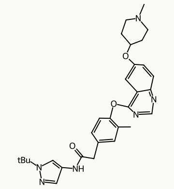 Cc1cc(CC(=O)Nc2cnn(C(C)(C)C)c2)ccc1Oc1ncnc2ccc(OC3CCN(C)CC3)cc12